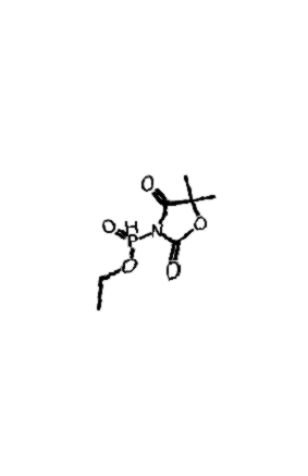 CCO[PH](=O)N1C(=O)OC(C)(C)C1=O